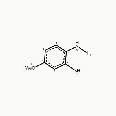 COc1ccc(NI)c(S)c1